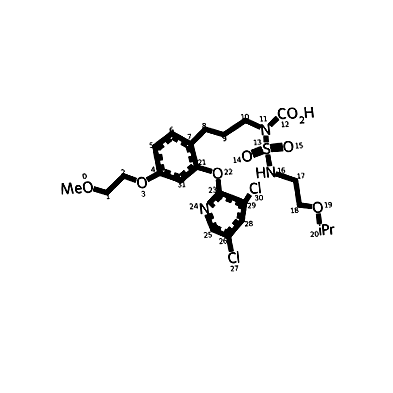 COCCOc1ccc(CCCN(C(=O)O)S(=O)(=O)NCCOC(C)C)c(Oc2ncc(Cl)cc2Cl)c1